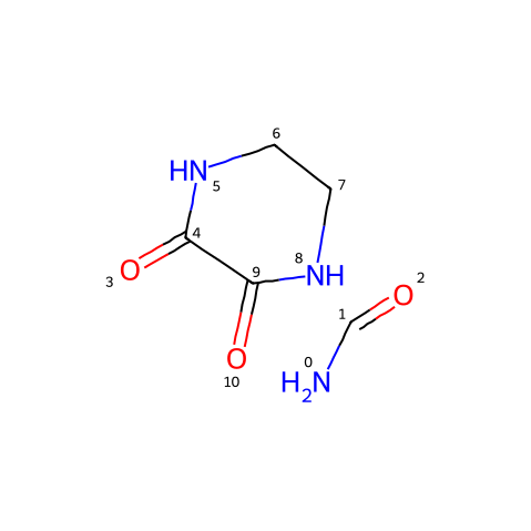 NC=O.O=C1NCCNC1=O